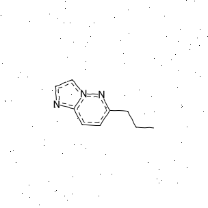 CCCc1ccc2nccn2n1